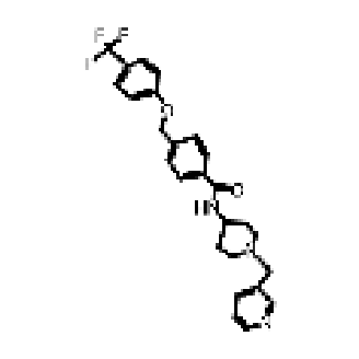 O=C(NC1CCN(Cc2cccnc2)CC1)c1ccc(COc2ccc(C(F)(F)F)cc2)cc1